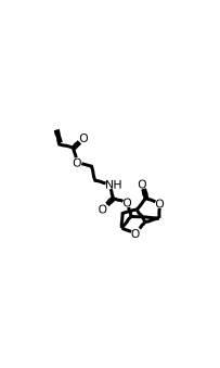 C=CC(=O)OCCNC(=O)OC1C2CC3C(=O)OC1C3O2